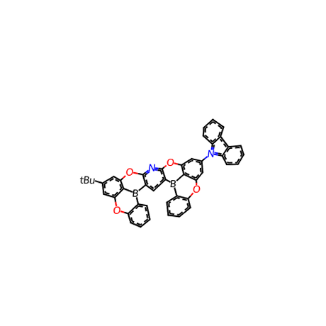 CC(C)(C)c1cc2c3c(c1)Oc1nc4c(cc1B3c1ccccc1O2)B1c2ccccc2Oc2cc(-n3c5ccccc5c5ccccc53)cc(c21)O4